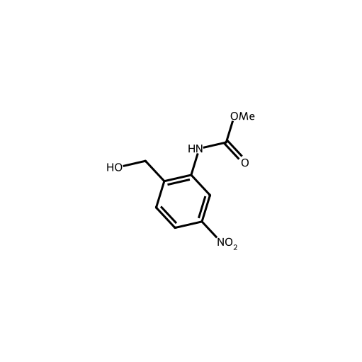 COC(=O)Nc1cc([N+](=O)[O-])ccc1CO